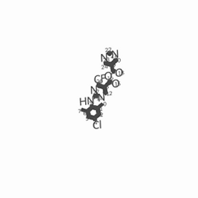 Cc1cc(Cl)cc(C)c1Nc1ncc(C(=O)OC(=O)c2cncnc2)c(C(F)(F)F)n1